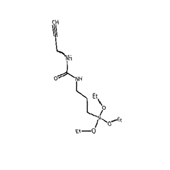 C#CCNC(=O)NCCC[Si](OCC)(OCC)OCC